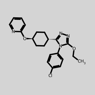 CCOc1nnc([C@H]2CC[C@H](Oc3ccccn3)CC2)n1-c1ccc(Cl)cc1